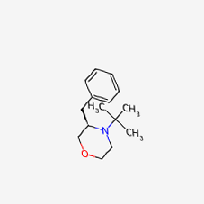 CC(C)(C)N1CCOC[C@H]1Cc1ccccc1